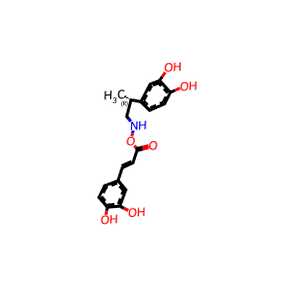 C[C@@H](CNOC(=O)C=Cc1ccc(O)c(O)c1)c1ccc(O)c(O)c1